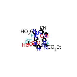 CCOC(=O)c1ncnc(N2CCC(C(=O)N3OCC[C@H]3c3cncc(C#N)c3)CC2)c1F.N#Cc1cncc([C@@H]2CCON2C(=O)C2CCN(c3ncnc(C(=O)O)c3F)CC2)c1.O=C(O)C(F)(F)F